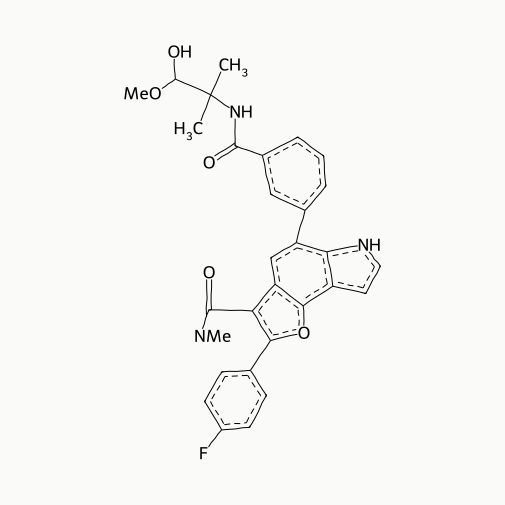 CNC(=O)c1c(-c2ccc(F)cc2)oc2c1cc(-c1cccc(C(=O)NC(C)(C)C(O)OC)c1)c1[nH]ccc12